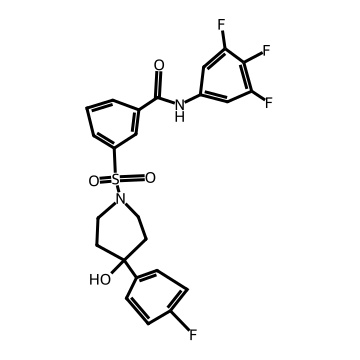 O=C(Nc1cc(F)c(F)c(F)c1)c1cccc(S(=O)(=O)N2CCC(O)(c3ccc(F)cc3)CC2)c1